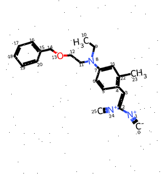 [C-]#[N+]C(=Cc1ccc(N(CC)CCOCc2ccccc2)cc1C)[N+]#[C-]